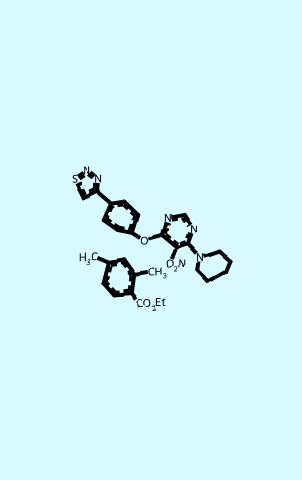 CCOC(=O)c1ccc(C)cc1C.O=[N+]([O-])c1c(Oc2ccc(-c3csnn3)cc2)ncnc1N1CCCCC1